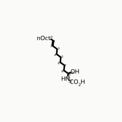 CCCCCCCCC=CCCCCCCC(O)NC(=O)O